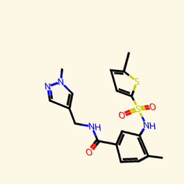 Cc1ccc(S(=O)(=O)Nc2cc(C(=O)NCc3cnn(C)c3)ccc2C)s1